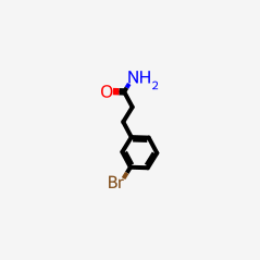 NC(=O)CCc1cccc(Br)c1